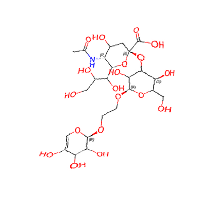 CC(=O)N[C@@H]1C(O)C[C@](OC2C(O)[C@H](OCCO[C@@H]3OC=C(O)C(O)C3O)OC(CO)[C@@H]2O)(C(=O)O)OC1C(O)C(O)CO